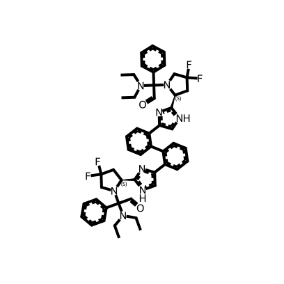 CCN(CC)C(C=O)(c1ccccc1)N1CC(F)(F)C[C@H]1c1nc(-c2ccccc2-c2ccccc2-c2c[nH]c([C@@H]3CC(F)(F)CN3C(C=O)(c3ccccc3)N(CC)CC)n2)c[nH]1